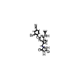 N#Cc1ccc(Oc2nc(NC3CC3)n3ncc(/C=C4\NC(=O)NC4=O)c3n2)c(Br)c1